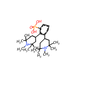 CN1C(C)(C)CC(c2cccc(P(=O)(O)O)c2C2CC(C)(C)N(C)C(C)(C)C2)CC1(C)C